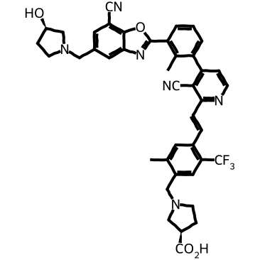 Cc1cc(/C=C/c2nccc(-c3cccc(-c4nc5cc(CN6CC[C@@H](O)C6)cc(C#N)c5o4)c3C)c2C#N)c(C(F)(F)F)cc1CN1CC[C@@H](C(=O)O)C1